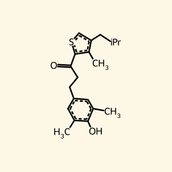 Cc1cc(CCC(=O)c2scc(CC(C)C)c2C)cc(C)c1O